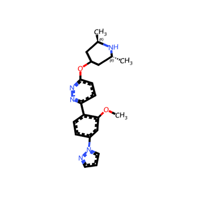 COc1cc(-n2cccn2)ccc1-c1ccc(OC2C[C@@H](C)N[C@H](C)C2)nn1